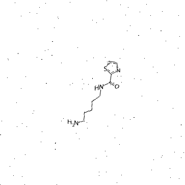 NCCCCCNC(=O)c1nccs1